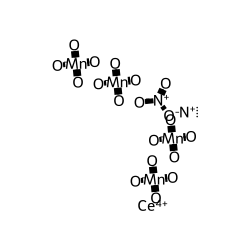 O=[N+]([O-])[O-].[Ce+4].[N+].[O]=[Mn](=[O])(=[O])[O-].[O]=[Mn](=[O])(=[O])[O-].[O]=[Mn](=[O])(=[O])[O-].[O]=[Mn](=[O])(=[O])[O-]